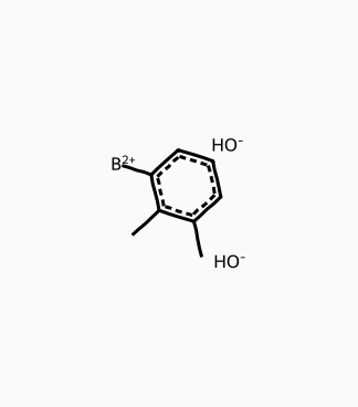 [B+2]c1cccc(C)c1C.[OH-].[OH-]